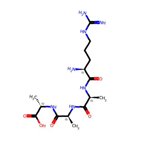 C[C@H](NC(=O)[C@H](C)NC(=O)[C@H](C)NC(=O)[C@@H](N)CCCNC(=N)N)C(=O)O